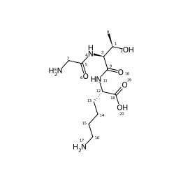 C[C@@H](O)[C@H](NC(=O)CN)C(=O)N[C@@H](CCCCN)C(=O)O